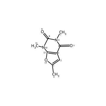 Cc1cc2c(=O)n(C)c(=O)n(C)c2o1